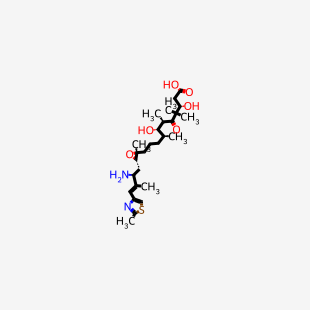 C/C(=C\c1csc(C)n1)[C@@H](N)C[C@@H]1O[C@]1(C)CCC[C@H](C)[C@H](O)[C@@H](C)C(=O)C(C)(C)[C@@H](O)CC(=O)O